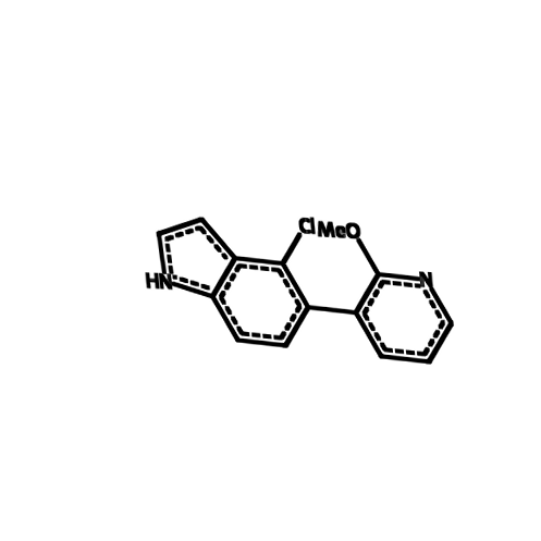 COc1ncccc1-c1ccc2[nH]ccc2c1Cl